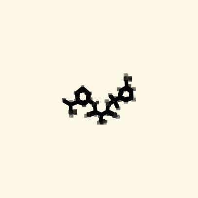 CCCC(C(=O)Oc1cccc(C(C)O)c1)C(=O)OC(C)(C)c1cccc(O)c1